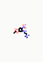 CC(O)Oc1ccc([N+](=O)[O-])c(NCC[N+](C)(C)C)c1.[I-]